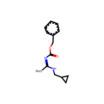 CS/C(=N/C(=O)OCc1ccccc1)NCC1CC1